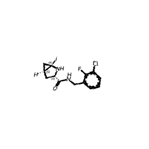 O=C(NCc1cccc(Cl)c1F)[C@@H]1C[C@H]2C[C@]2(I)N1